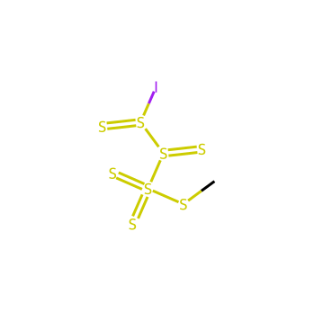 CSS(=S)(=S)S(=S)S(=S)I